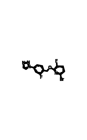 Fc1cc(-n2ccnn2)ccc1COc1nc(Br)ccc1F